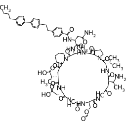 CCCCc1ccc(-c2ccc(CCc3ccc(C(=O)N[C@@H](CC(N)=O)C(=O)NC4C(=O)N5CCCC[C@@H]5C(=O)C[C@@H](C(C)C(=O)O)C(=O)N[C@@H](CC(=O)O)C(=O)NCC(=O)NC(COC=O)C(=O)NCC(=O)C[C@H](C(C)N)C(=O)N[C@@H](C(C)C)C(=O)N5CCC[C@H]5C(=O)N[C@@H]4C)cc3)cc2)cc1